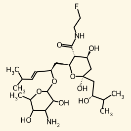 CC(C)/C=C/[C@@H](C[C@@H]1O[C@](O)(C[C@@H](O)C(C)C)C[C@H](O)[C@H]1C(=O)NCCF)OC1OC(C)C(O)C(N)C1O